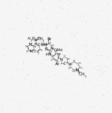 COc1nc(N2CCC(N3CCCN(C)CC3)CC2)c(C(C)=O)cc1Nc1ncc(Br)c(Nc2ccc3nccnc3c2P(C)C)n1